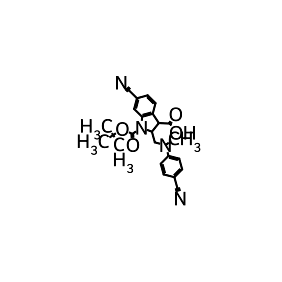 CN(CC1C(C(=O)O)c2ccc(C#N)cc2N1C(=O)OC(C)(C)C)c1ccc(C#N)cc1